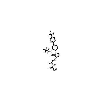 CC(CO[C@@H]1CCN([C@H]2CCN(c3ncc(C(F)(F)F)cn3)C[C@H]2O[Si](C)(C)C(C)(C)C)C1=O)NC(=O)O